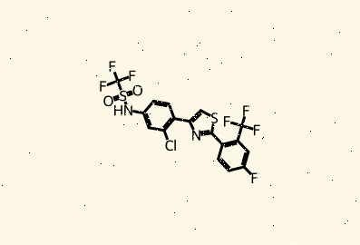 O=S(=O)(Nc1ccc(-c2csc(-c3ccc(F)cc3C(F)(F)F)n2)c(Cl)c1)C(F)(F)F